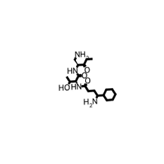 CCC(=O)[C@H](CN)NC(=O)[C@@H](NC(=O)CCC(N)C1CCCCC1)C(C)O